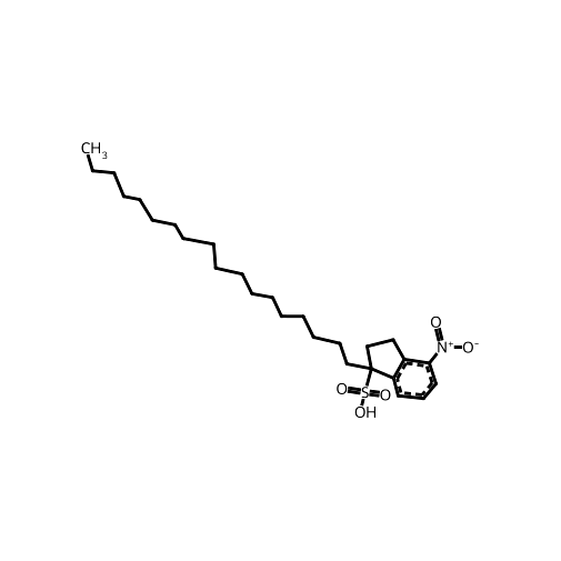 CCCCCCCCCCCCCCCCCCC1(S(=O)(=O)O)CCc2c([N+](=O)[O-])cccc21